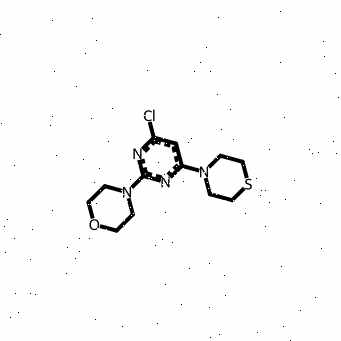 Clc1cc(N2CCSCC2)nc(N2CCOCC2)n1